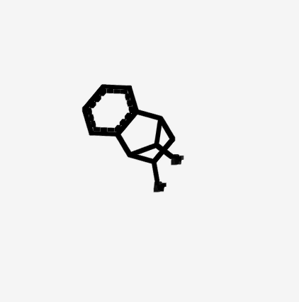 BrC1CC2c3ccccc3C1C2Br